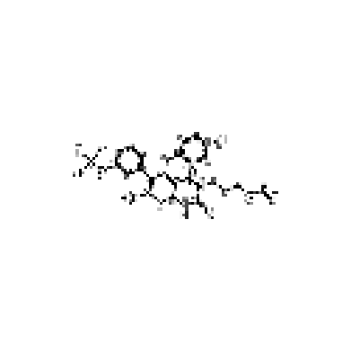 CC1=C(c2cccc(OC(F)(F)F)c2)C(Cc2ccc(Cl)cn2)=C2C(=O)N(CCCOC=O)C(=O)NC2N1